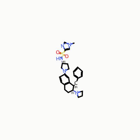 Cn1cnc(S(=O)(=O)N[C@@H]2CCN(c3ccc4c(c3)[C@@H](Cc3ccccc3)[C@@H](N3CCC3)CC4)C2)c1